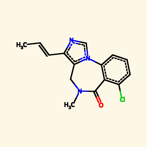 CC=Cc1ncn2c1CN(C)C(=O)c1c(Cl)cccc1-2